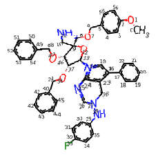 COc1ccc(COC[C@@]2(CN)O[C@@H](n3cc(-c4ccccc4)c4c3N=CN(Nc3ccc(F)cc3)C4)[C@H](OCc3ccccc3)[C@@H]2OCc2ccccc2)cc1